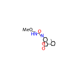 COCCNC(=O)CN(C)c1ccc2c(-c3ccccc3C)cc(=O)oc2c1